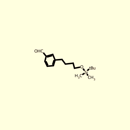 CC(C)(C)[Si](C)(C)OCCCCc1cccc(C=O)c1